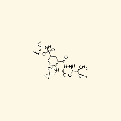 C=C(C)C(=O)Nn1c(=O)c2cc(S(=O)(=O)NC3(C)CC3)ccc2n(CC2(C)CC2)c1=O